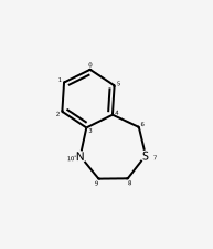 c1ccc2c(c1)CSCC[N]2